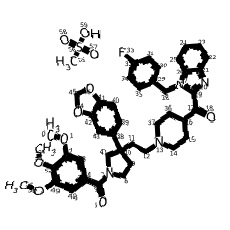 COc1cc(C(=O)N2CCC(CCN3CCC(C(=O)c4nc5ccccc5n4Cc4ccc(F)cc4)CC3)(c3ccc4c(c3)OCO4)C2)cc(OC)c1OC.CS(=O)(=O)O